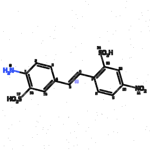 Nc1ccc(/C=C/c2ccc([N+](=O)[O-])cc2S(=O)(=O)O)cc1S(=O)(=O)O